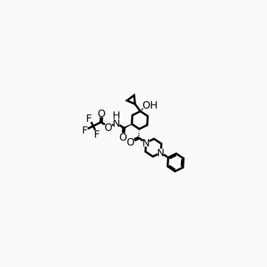 O=C(NOC(=O)C(F)(F)F)[C@H]1C[C@@](O)(C2CC2)CC[C@@H]1C(=O)N1CCN(c2ccccc2)CC1